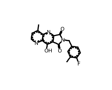 Cc1cc(CN2C(=O)c3nc4c(C)ccnc4c(O)c3C2=O)ccc1F